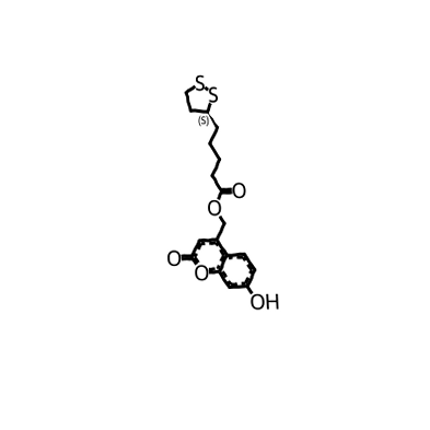 O=C(CCCC[C@H]1CCSS1)OCc1cc(=O)oc2cc(O)ccc12